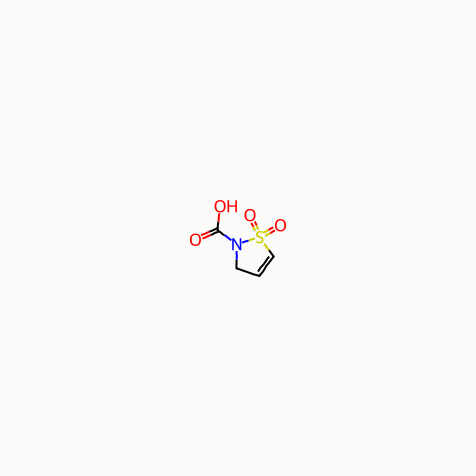 O=C(O)N1CC=CS1(=O)=O